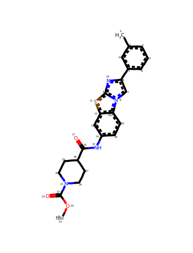 Cc1cccc(-c2cn3c(n2)sc2cc(NC(=O)C4CCN(C(=O)OC(C)(C)C)CC4)ccc23)c1